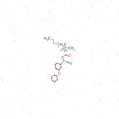 CCCOC[C@H]1[C@@H](C(=O)OC(C#N)c2cccc(Oc3ccccc3)c2)C1(C)C